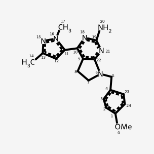 COc1ccc(CN2CCc3c(-c4cc(C)nn4C)nc(N)nc32)cc1